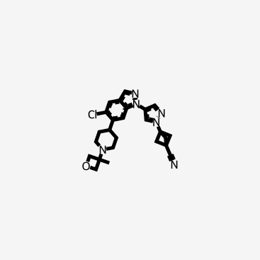 CC1(N2CCC(c3cc4c(cnn4-c4cnn(C56CC(C#N)(C5)C6)c4)cc3Cl)CC2)COC1